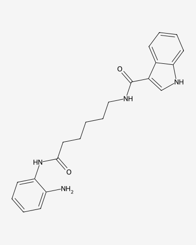 Nc1ccccc1NC(=O)CCCCCNC(=O)c1c[nH]c2ccccc12